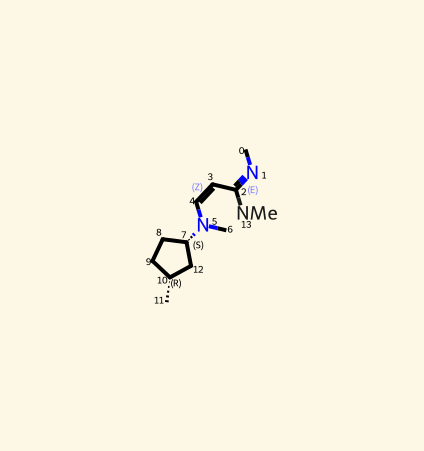 C/N=C(\C=C/N(C)[C@H]1CC[C@@H](C)C1)NC